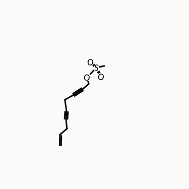 C=CCC#CCC#CCOS(C)(=O)=O